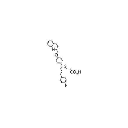 O=C(O)CCSC(CCCc1ccc(F)cc1)c1ccc(OCc2ccc3ccccc3n2)cc1